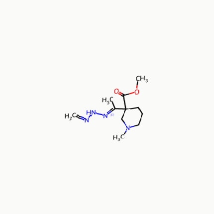 C=NN/N=C(\C)C1(C(=O)OC)CCCN(C)C1